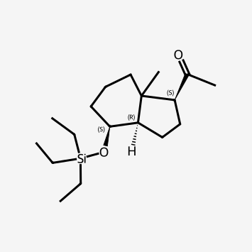 CC[Si](CC)(CC)O[C@H]1CCCC2(C)[C@@H](C(C)=O)CC[C@@H]12